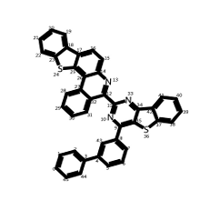 c1ccc(-c2cccc(-c3nc(-c4nc5ccc6c7ccccc7sc6c5c5ccccc45)nc4c3sc3ccccc34)c2)cc1